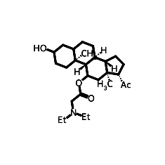 CCN(CC)CC(=O)OC1C[C@]2(C)[C@@H](C(C)=O)CC[C@H]2[C@@H]2CCC3CC(O)CC[C@]3(C)[C@@H]12